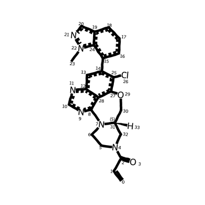 C=CC(=O)N1CCN2c3ncnc4cc(-c5cccc6cnn(C)c56)c(Cl)c(c34)OC[C@@H]2C1